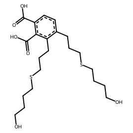 O=C(O)c1ccc(CCCSCCCCO)c(CCCSCCCCO)c1C(=O)O